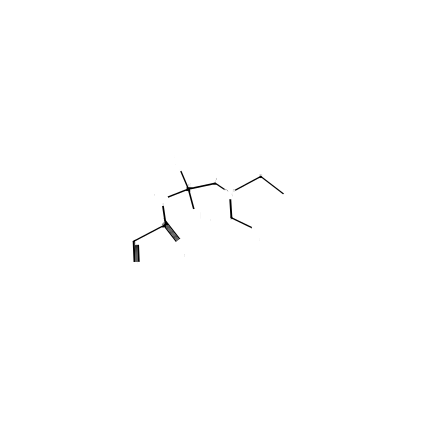 C=CC(=O)OC(C)(C)CN(CC)CC